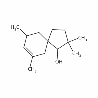 CC1=CC(C)CC2(CCC(C)(C)C2O)C1